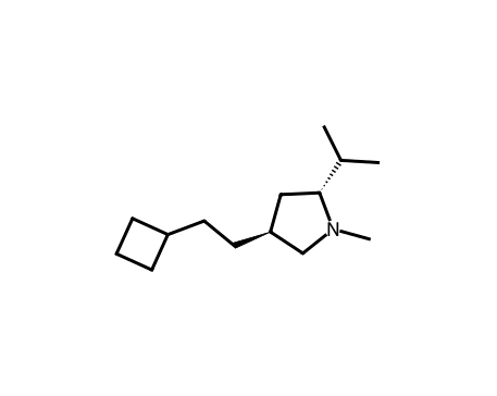 CC(C)[C@H]1C[C@H](CCC2CCC2)CN1C